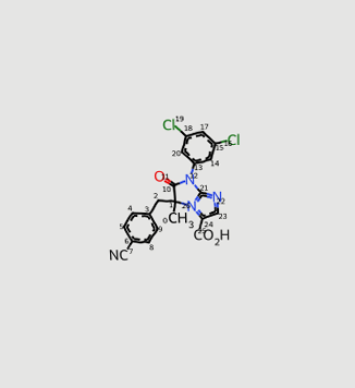 CC1(Cc2ccc(C#N)cc2)C(=O)N(c2cc(Cl)cc(Cl)c2)c2ncc(C(=O)O)n21